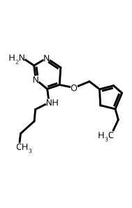 CCCCNc1nc(N)ncc1OCC1=CC=C(CC)C1